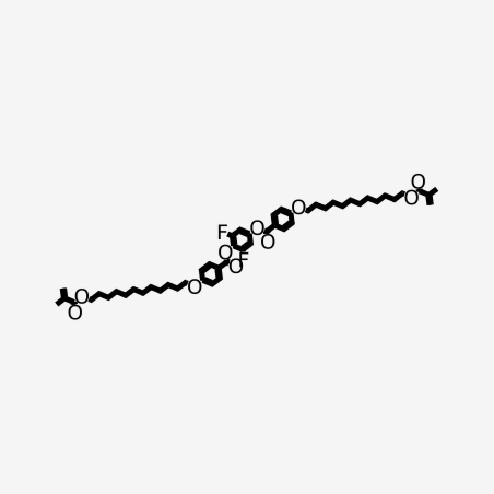 C=C(C)C(=O)OCCCCCCCCCCCCOc1ccc(C(=O)Oc2cc(F)c(OC(=O)c3ccc(OCCCCCCCCCCCCOC(=O)C(=C)C)cc3)c(F)c2)cc1